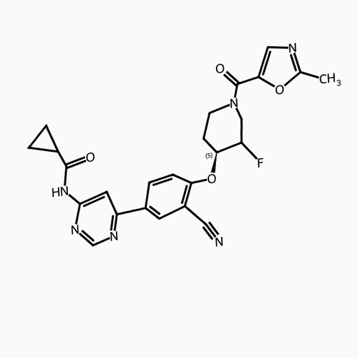 Cc1ncc(C(=O)N2CC[C@H](Oc3ccc(-c4cc(NC(=O)C5CC5)ncn4)cc3C#N)C(F)C2)o1